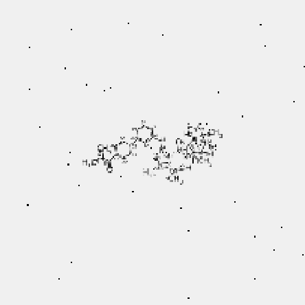 C[C@@H]1[C@@H](NC(=O)[C@@H]2[C@H]([C@H](C)O)[C@H](C)ON2Cc2cccc(-c3ccc(C(=O)N(C)C)cc3)c2)C[C@H]2C[C@@H]1C2(C)C